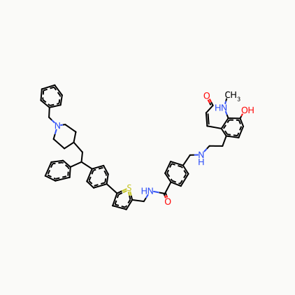 CNc1c(O)ccc(CCNCc2ccc(C(=O)NCc3ccc(-c4ccc(C(CC5CCN(Cc6ccccc6)CC5)c5ccccc5)cc4)s3)cc2)c1/C=C\C=O